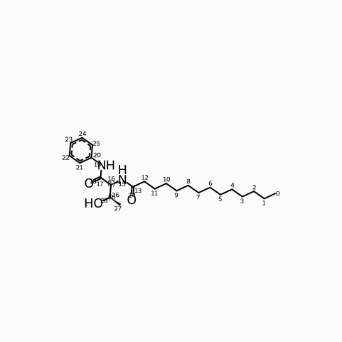 CCCCCCCCCCCCCC(=O)N[C@H](C(=O)Nc1ccccc1)[C@@H](C)O